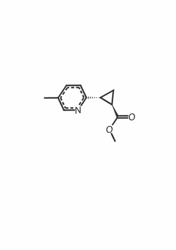 COC(=O)[C@@H]1C[C@H]1c1ccc(C)cn1